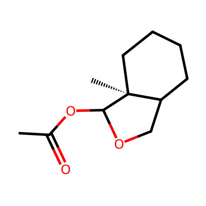 CC(=O)OC1OCC2CCCC[C@@]21C